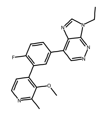 CCn1cnc2c(-c3ccc(F)c(-c4ccnc(C)c4OC)c3)cnnc21